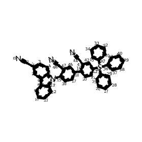 N#Cc1ccc2c(c1)c1ccccc1n2-c1ccc(-c2ccc(S(c3ccccc3)(c3ccccc3)c3ccccc3)cc2C#N)cc1C#N